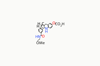 COCCNC(=O)c1cccc(C2Nc3ccc(OC(=O)O)cc3CC2(C)C)c1